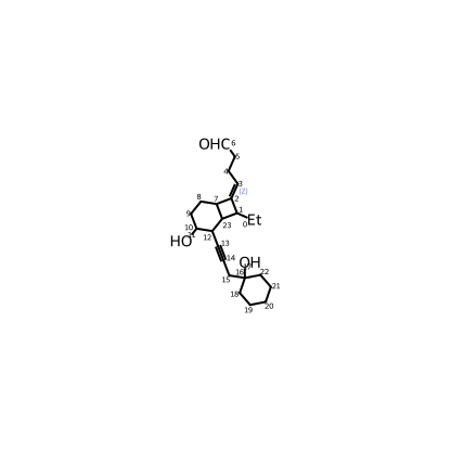 CCC1/C(=C/CCC=O)C2CCC(O)C(C#CCC3(O)CCCCC3)C12